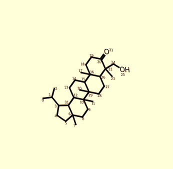 CC(C)C1CCC2(C)CCC3(C)C(CCC4C5(C)CCC(=O)C(C)(CO)C5CCC43C)C12